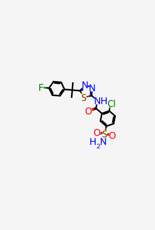 CC(C)(c1ccc(F)cc1)c1nnc(NC(=O)c2cc(S(N)(=O)=O)ccc2Cl)s1